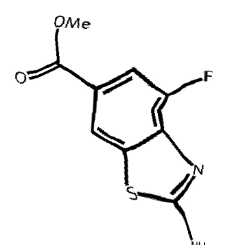 COC(=O)c1cc(F)c2nc(N)sc2c1